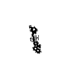 O=C(NCc1cccc(F)c1)C1CCN(C2(c3cccc4ccccc34)CC2)CC1